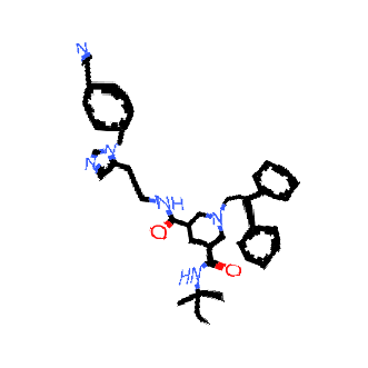 CC(C)(C)NC(=O)C1CC(C(=O)NCCc2cncn2Cc2ccc(C#N)cc2)CN(CC(c2ccccc2)c2ccccc2)C1